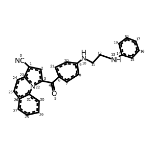 N#Cc1cc(C(=O)c2ccc(NCCNc3ccccc3)cc2)n2c1ccc1ccccc12